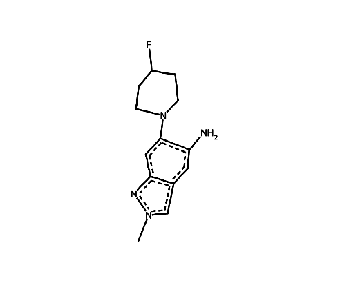 Cn1cc2cc(N)c(N3CCC(F)CC3)cc2n1